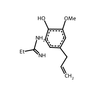 C=CCc1ccc(O)c(OC)c1.CCC(=N)N